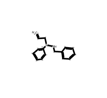 C=CCN(NCc1ccccc1)c1ccccc1